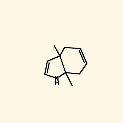 CC12C=CNC1(C)CC=CC2